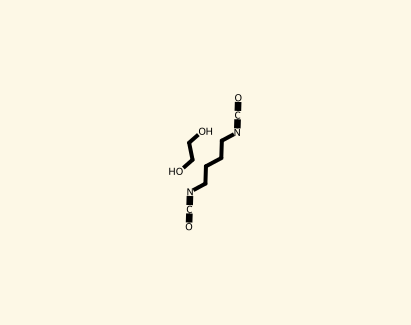 O=C=NCCCCN=C=O.OCCO